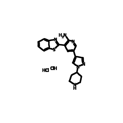 Cl.Cl.Nc1ncc(-c2cnn(C3CCNCC3)c2)cc1-c1nc2ccccc2s1